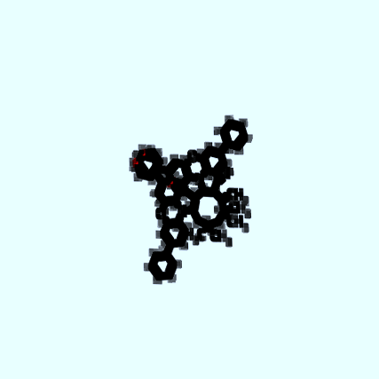 C=C1/C(C#N)=C(N2c3ccc(-c4ccccc4)cc3Oc3cc(-c4ccccc4)ccc32)\C(C#N)=C(\N2c3ccc(-c4ccccc4)cc3Oc3cc(-c4ccccc4)ccc32)CC(C)(C)CC1(C)C